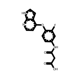 O=C(O)CC(=O)Nc1ccc(Oc2ccnc3[nH]ccc23)c(F)c1